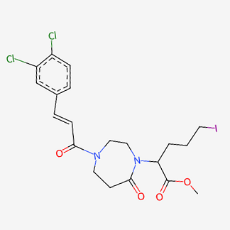 COC(=O)C(CCCI)N1CCN(C(=O)C=Cc2ccc(Cl)c(Cl)c2)CCC1=O